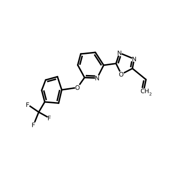 C=Cc1nnc(-c2cccc(Oc3cccc(C(F)(F)F)c3)n2)o1